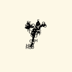 CC(C)(C#Cc1ccc(-c2ccc(Cl)c3c(N(C(=O)OCCNC(=O)OCOP(=O)(O)O)S(C)(=O)=O)nn(CC(F)(F)F)c23)c([C@H](Cc2cc(F)cc(F)c2)NC(=O)Cn2nc(C(F)(F)F)c3c2C(F)(F)C2C[C@H]32)n1)S(C)(=O)=O